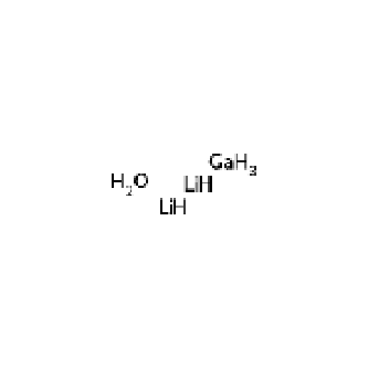 O.[GaH3].[LiH].[LiH]